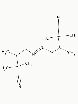 CC(CN=NCC(C)C(C)(C)C#N)C(C)(C)C#N